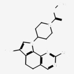 CC(=O)Oc1cn(C2CCN(C(=O)OC(C)(C)C)CC2)c2c1CCc1cnc(N)nc1-2